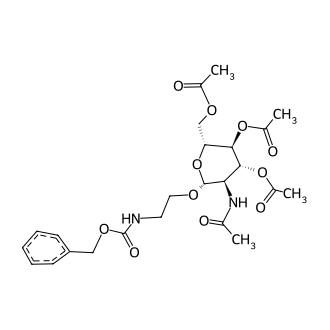 CC(=O)N[C@H]1[C@H](OCCNC(=O)OCc2ccccc2)O[C@H](COC(C)=O)[C@@H](OC(C)=O)[C@@H]1OC(C)=O